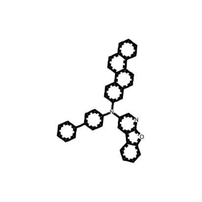 c1ccc(-c2ccc(N(c3ccc4c(ccc5c6ccccc6ccc45)c3)c3cnc4oc5ccccc5c4c3)cc2)cc1